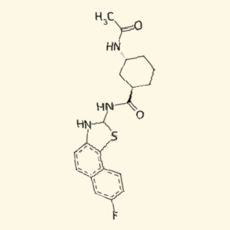 CC(=O)N[C@@H]1CCC[C@@H](C(=O)NC2Nc3ccc4cc(F)ccc4c3S2)C1